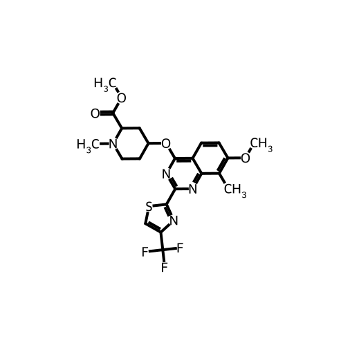 COC(=O)C1CC(Oc2nc(-c3nc(C(F)(F)F)cs3)nc3c(C)c(OC)ccc23)CCN1C